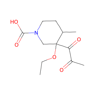 CCOC1(C(=O)C(C)=O)CN(C(=O)O)CCC1C